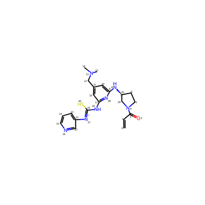 C=CC(=O)N1CC[C@H](Nc2cc(CN(C)C)cc(N/C(S)=N/c3cccnc3)n2)C1